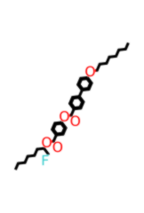 CCCCCCCCOc1ccc(-c2ccc(C(=O)Oc3ccc(C(=O)OC(CF)CCCCCC)cc3)cc2)cc1